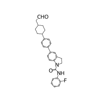 O=CCC1CCC(c2ccc(-c3ccc4c(c3)CCN4C(=O)Nc3ccccc3F)cc2)CC1